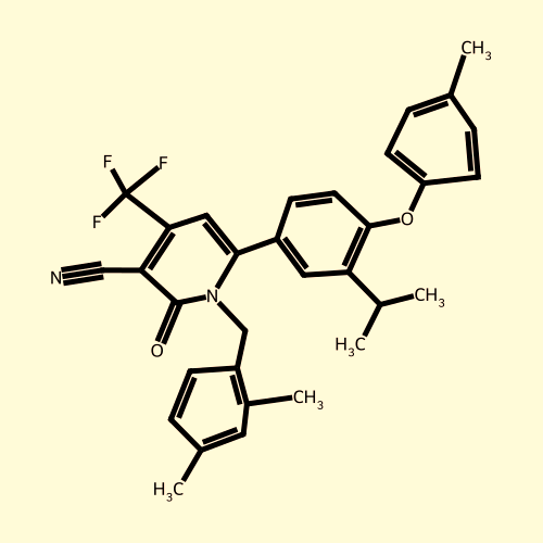 Cc1ccc(Oc2ccc(-c3cc(C(F)(F)F)c(C#N)c(=O)n3Cc3ccc(C)cc3C)cc2C(C)C)cc1